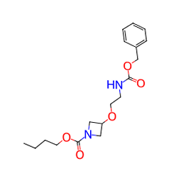 CCCCOC(=O)N1CC(OCCNC(=O)OCc2ccccc2)C1